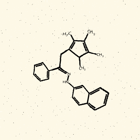 CC1=C(C)C(C)C(CC(=NNc2ccc3ccccc3c2)c2ccccc2)=C1C